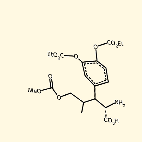 CCOC(=O)Oc1ccc(C(C(C)COC(=O)OC)[C@H](N)C(=O)O)cc1OC(=O)OCC